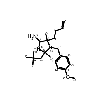 C=CCCC1(C)C(N)NC(C)(CC(C)(C)C)N1Cc1ccc(OC)cc1